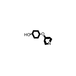 O[C@H]1CC[C@H](Oc2ccncc2)CC1